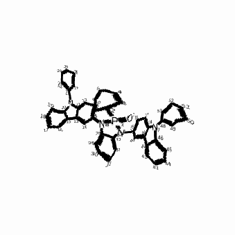 O=P1(C2C=CC=CC2)N(c2ccc3c(c2)c2ccccc2n3-c2ccccc2)c2ccccc2N1c1ccc2c(c1)c1ccccc1n2-c1ccccc1